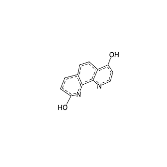 Oc1ccc2ccc3c(O)ccnc3c2n1